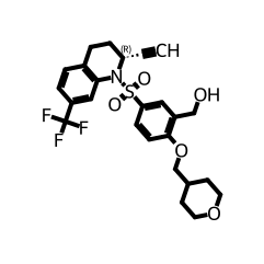 C#C[C@H]1CCc2ccc(C(F)(F)F)cc2N1S(=O)(=O)c1ccc(OCC2CCOCC2)c(CO)c1